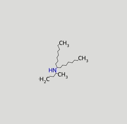 [CH2]CCC(C)NC(CCCCCCCC)CCCCCCCC